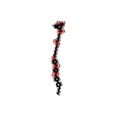 CCCCCC1CCC(C2CCC(C(=O)Oc3ccc(OC(=O)c4ccc(OCCCCCCCCOC(=O)CCCCCOC(=O)c5cc(C(C)(C)C)c(O)c(C(C)(C)C)c5)cc4)cc3)CC2)CC1